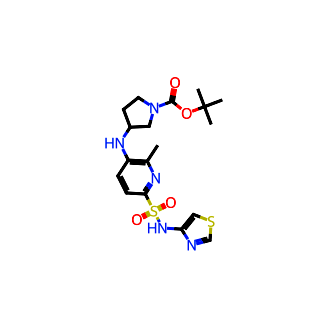 Cc1nc(S(=O)(=O)Nc2cscn2)ccc1NC1CCN(C(=O)OC(C)(C)C)C1